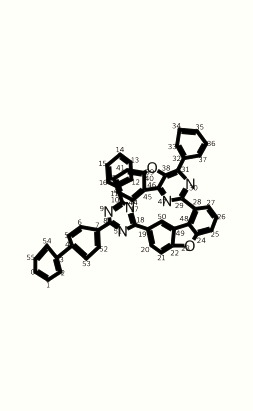 c1ccc(-c2ccc(-c3nc(-c4ccccc4)nc(-c4ccc5oc6cccc(-c7nc(-c8ccccc8)c8oc9ccccc9c8n7)c6c5c4)n3)cc2)cc1